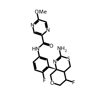 COc1cnc(C(=O)Nc2ccc(F)c([C@]34COCC(F)C3CSC(N)=N4)c2)cn1